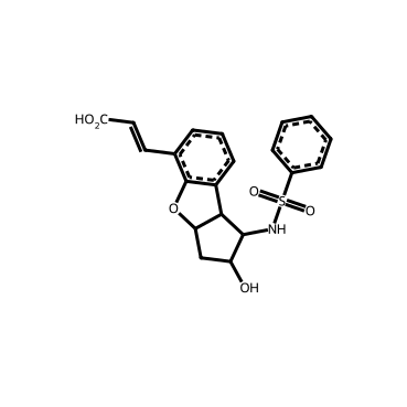 O=C(O)C=Cc1cccc2c1OC1CC(O)C(NS(=O)(=O)c3ccccc3)C21